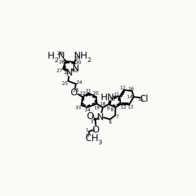 CCOC(=O)N1CCc2c([nH]c3c2=CC(Cl)CC=3)C1c1ccc(OCCn2cc(N)c(N)n2)cc1